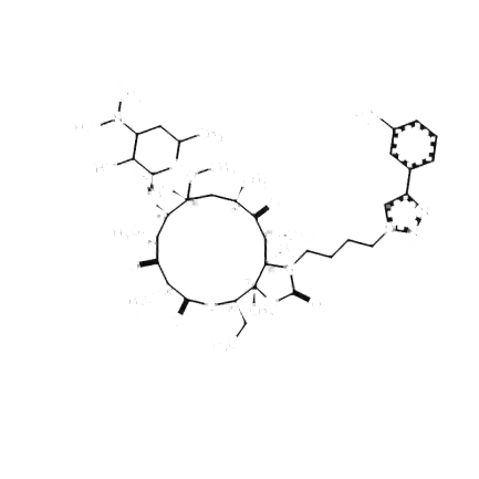 CC[C@H]1OC(=O)[C@H](C)C(=O)[C@H](C)[C@@H](O[C@@H]2OC(C)CC(N(C)C)C2O)[C@](C)(OC)C[C@@H](C)C(=O)[C@H](C)[C@H]2N(CCCCn3cc(-c4cccc(N)c4)nn3)C(=O)O[C@]12C